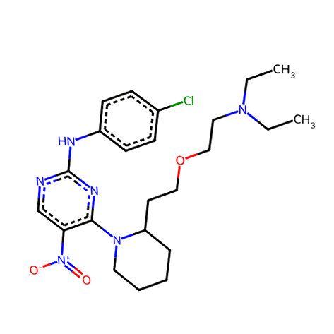 CCN(CC)CCOCCC1CCCCN1c1nc(Nc2ccc(Cl)cc2)ncc1[N+](=O)[O-]